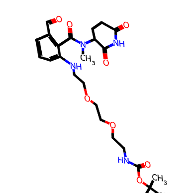 CN(C(=O)c1c(C=O)cccc1NCCOCCOCCNC(=O)OC(C)(C)C)C1CCC(=O)NC1=O